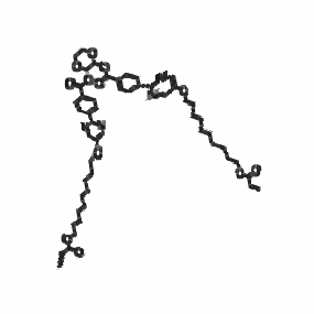 C=CC(=O)OCCCCCCCCCCOc1cnc(-c2ccc(C(=O)O[C@@H]3OCCO[C@H]3OC(=O)c3ccc(-c4ncc(OCCCCCCCCCCOC(=O)C=C)cn4)cc3)cc2)nc1